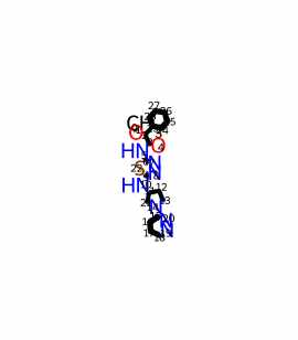 COC(C(=O)Nc1nnc(NC2CCN(c3cccnn3)C2)s1)c1ccccc1